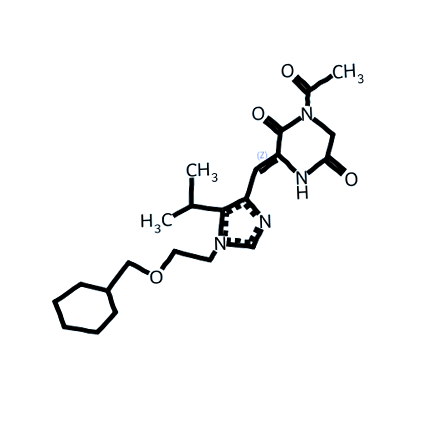 CC(=O)N1CC(=O)N/C(=C\c2ncn(CCOCC3CCCCC3)c2C(C)C)C1=O